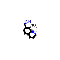 N=Cc1ccc2cccnc2c1[N+](=O)[O-]